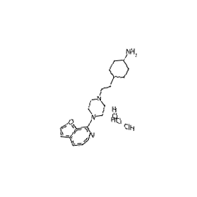 Cl.Cl.Cl.NC1CCC(CCN2CCN(c3nccc4ccoc34)CC2)CC1